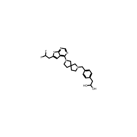 OC(O)Cc1ccc(CN2CCC3(CCN(c4ncnc5sc(CC(F)F)cc45)C3)C2)cc1